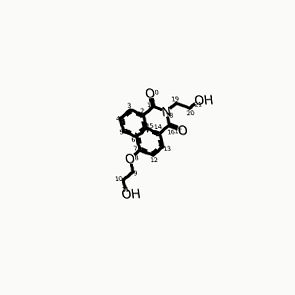 O=C1c2cccc3c(OCCO)ccc(c23)C(=O)N1CCO